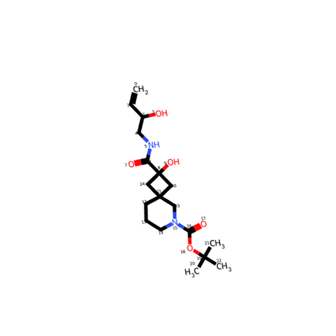 C=CC(O)CNC(=O)C1(O)CC2(CCCN(C(=O)OC(C)(C)C)C2)C1